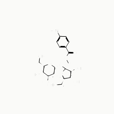 Nc1ccc(C(=O)OC[C@@]2(O[C@H]3O[C@H](CO)[C@@H](O)[C@H](O)[C@H]3O)O[C@H](CO)[C@@H](O)[C@@H]2O)cc1